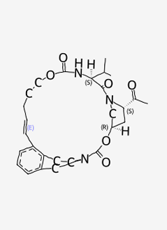 CC(=O)[C@@H]1C[C@@H]2CN1C(=O)[C@H](C(C)C)NC(=O)OCCC/C=C/c1cccc3c1CCN(C3)C(=O)O2